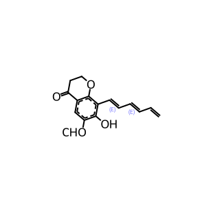 C=C/C=C/C=C/c1c(O)c(C=O)cc2c1OCCC2=O